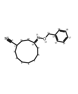 N#CC1CCCCCCCC(=NOCc2ccccc2)CC1